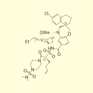 C=CCC[C@@H](C(=O)N1CCN(S(=O)(=O)N(C)C)CC1)S(=O)(=O)NC(=O)c1ccc2c(c1)N(C[C@@H]1CC[C@H]1[C@H](/C=C/CC)OC)C[C@@]1(CCCc3cc(Cl)ccc31)CO2